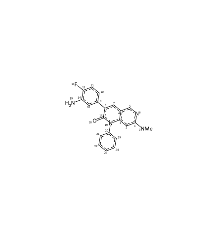 CNc1cc2c(cn1)cc(-c1ccc(F)c(N)c1)c(=O)n2-c1ccccc1